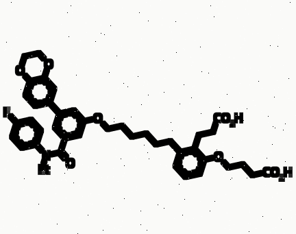 CCN(C(=O)c1cc(OCCCCCCc2cccc(OCCCC(=O)O)c2CCC(=O)O)cc(-c2ccc3c(c2)OCCO3)c1)c1ccc(F)cc1